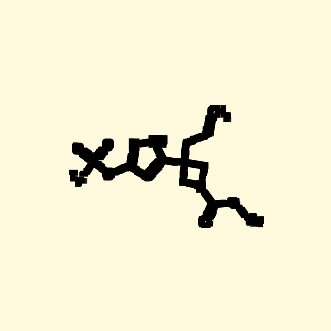 C=CCC1(c2cc(OS(=O)(=O)C(F)(F)F)n[nH]2)CN(C(=O)OC(C)(C)C)C1